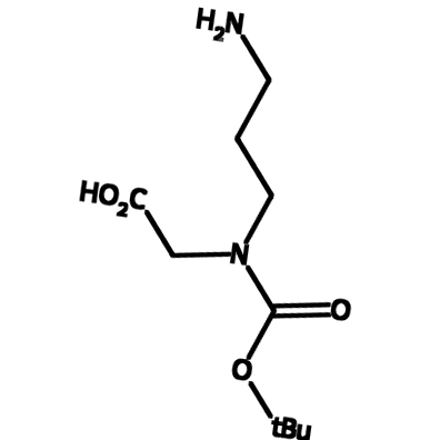 CC(C)(C)OC(=O)N(CCCN)CC(=O)O